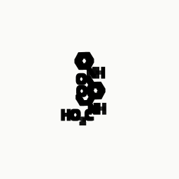 O=C(O)N[C@H]1CCOc2c(C(=O)Nc3ccccc3)cccc21